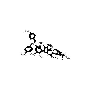 COc1ccc(CN(Cc2ccc(OC)cc2)c2cc(C)c(C(F)(F)F)c(-c3nc4c5c(ncnc5c3Cl)N3CC5CCC(C3C(C)O4)N5C(=O)OC(C)(C)C)c2F)cc1